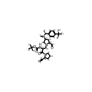 C[C@@H](c1ccc(C(F)(F)F)cc1)N(C)C1CC(C=O)N(CC(NC(=O)OC(C)(C)C)C(=O)N2CCCC2C#N)C1